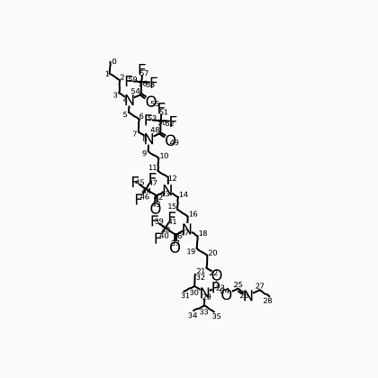 CCCCN(CCCN(CCCCN(CCCN(CCCCOP(O/C=N/CC)N(C(C)C)C(C)C)C(=O)C(F)(F)F)C(=O)C(F)(F)F)C(=O)C(F)(F)F)C(=O)C(F)(F)F